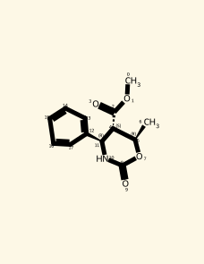 COC(=O)[C@@H]1[C@@H](C)OC(=O)N[C@H]1c1ccccc1